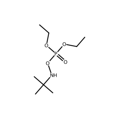 CCOP(=O)(OCC)ONC(C)(C)C